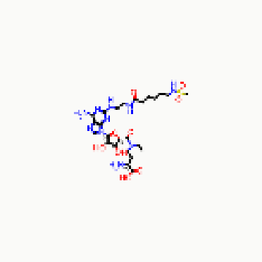 CCN(CC[C@H](N)C(=O)O)C(=O)[C@H]1O[C@@H](n2cnc3c(N)nc(NCCNC(=O)CCCCCNS(C)(=O)=O)nc32)[C@H](O)[C@@H]1O